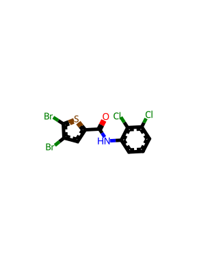 O=C(Nc1cccc(Cl)c1Cl)c1cc(Br)c(Br)s1